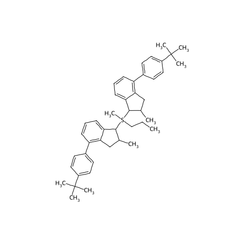 CCCS(C)(C1c2cccc(-c3ccc(C(C)(C)C)cc3)c2CC1C)C1c2cccc(-c3ccc(C(C)(C)C)cc3)c2CC1C